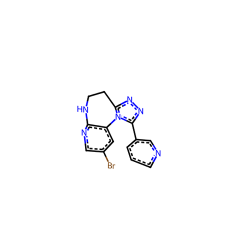 Brc1cnc2c(c1)-n1c(nnc1-c1cccnc1)CCN2